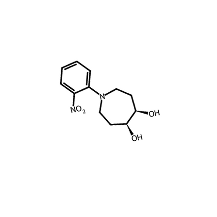 O=[N+]([O-])c1ccccc1N1CC[C@@H](O)[C@@H](O)CC1